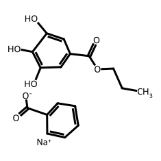 CCCOC(=O)c1cc(O)c(O)c(O)c1.O=C([O-])c1ccccc1.[Na+]